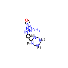 CCN1CCN(CC)CCN(CC)C(Cc2ccc(Nc3nc(N)nc(N4CCOCC4)n3)cc2)CN(CC)CC1